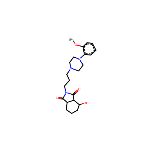 CC(C)Oc1ccccc1N1CCN(CCCN2C(=O)C3CCCC(O)C3C2=O)CC1